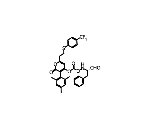 Cc1cc(C)c(-c2c(OC(=O)ON[C@H](C=O)Cc3ccccc3)cc(CCSc3ccc(C(F)(F)F)cc3)oc2=O)c(C)c1